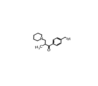 [2H]Cc1ccc(C(=O)C(C)CN2CCCCC2)cc1